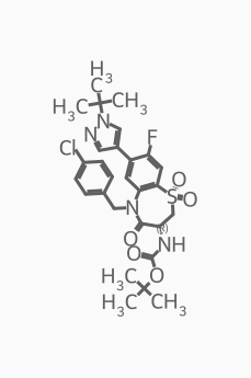 CC(C)(C)OC(=O)N[C@H]1CS(=O)(=O)c2cc(F)c(-c3cnn(C(C)(C)C)c3)cc2N(Cc2ccc(Cl)cc2)C1=O